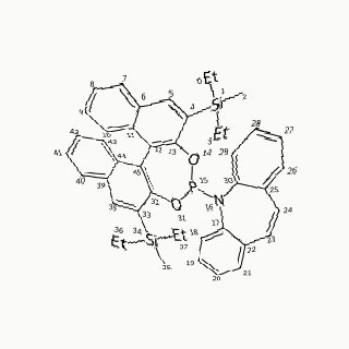 CC[Si](C)(CC)c1cc2ccccc2c2c1op(N1c3ccccc3C=Cc3ccccc31)oc1c([Si](C)(CC)CC)cc3ccccc3c12